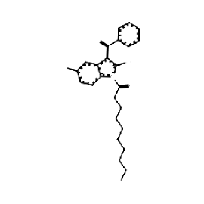 CCCCCCCCCC(=O)n1c(O)c(C(=O)c2ccccc2)c2cc(F)ccc21